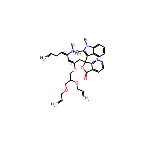 C=CC/C=C(\C=C(/CC1(c2c(C)n(CC)c3ccccc23)OC(=O)c2cccnc21)OCC(COCC=C)OCC=C)N(CC)CC